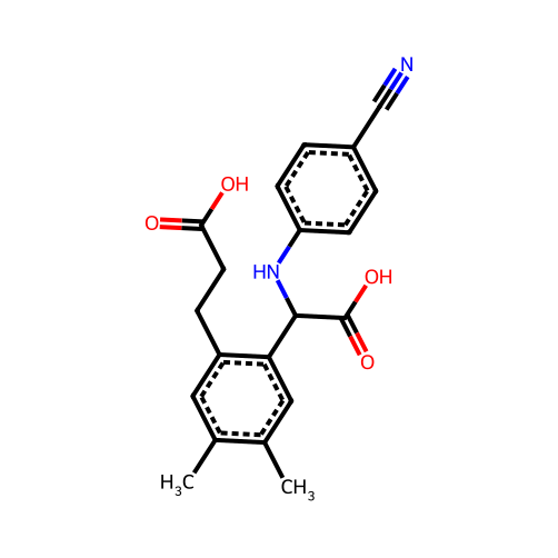 Cc1cc(CCC(=O)O)c(C(Nc2ccc(C#N)cc2)C(=O)O)cc1C